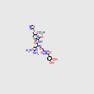 N.Nc1nc(C(=NOCC(=O)NNC(=O)c2ccc(O)c(O)c2)C(=O)NC2C(=O)N3C(C(=O)O)=C(CSc4nncs4)CS[C@@H]23)cs1